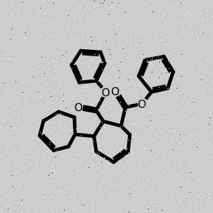 O=C(Oc1ccccc1)C1CC=CCC(C2CC=CCCC2)C1C(=O)Oc1ccccc1